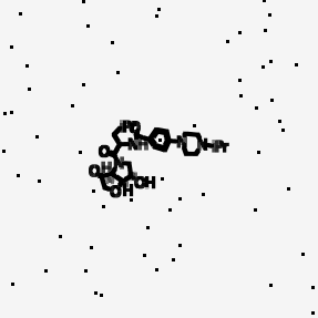 CC(C)CC(NC(=O)c1ccc(N2CCN(C(C)C)CC2)cc1)C(=O)N1C[C@@H](O)[C@H]2OCC(=O)[C@H]21